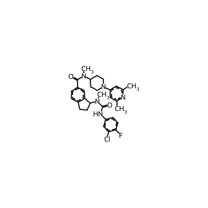 Cc1cc(N2CCC(N(C)C(=O)c3ccc4c(c3)C(N(C)C(=O)Nc3ccc(F)c(Cl)c3)CC4)CC2)cc(C)n1